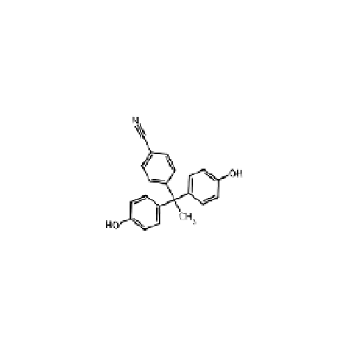 CC(c1ccc(O)cc1)(c1ccc(O)cc1)c1ccc(C#N)cc1